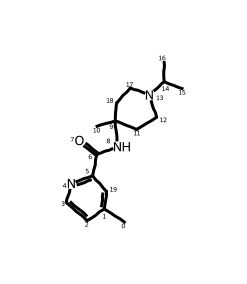 Cc1ccnc(C(=O)NC2(C)CCN(C(C)C)CC2)c1